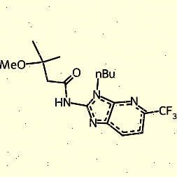 CCCCn1c(NC(=O)CC(C)(C)OC)nc2ccc(C(F)(F)F)nc21